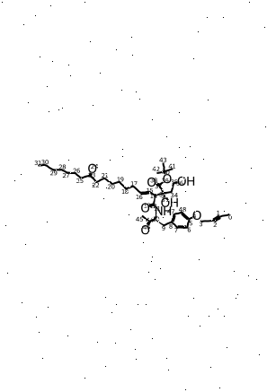 CC#CCOc1ccc(C[C@H](NC(=O)[C@@H](/C=C/CCCCCCC(=O)CCCCCCC)[C@@](O)(CCO)C(=O)OC(C)(C)C)C(C)=O)cc1